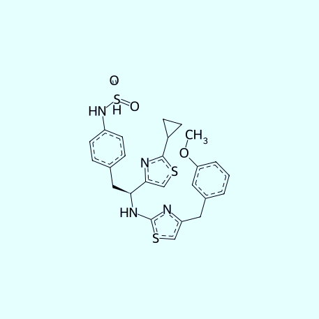 COc1cccc(Cc2csc(N[C@@H](Cc3ccc(N[SH](=O)=O)cc3)c3csc(C4CC4)n3)n2)c1